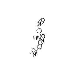 Cc1ncc(-c2ccc3cnc(NC(=O)C4CCC(CN5CCOCC5)CC4)cc3c2)o1